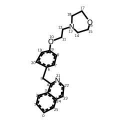 c1ccc2c(Cc3ccc(OCCN4CCOCC4)cc3)nccc2c1